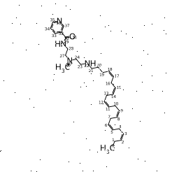 CC/C=C\C/C=C\C/C=C\C/C=C\C/C=C\C/C=C\CCCNCCN(C)CCNC(=O)c1cccnc1